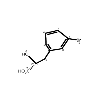 O=C(O)[C@H](O)Cc1cccc(Br)c1